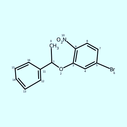 CC(Oc1cc(Br)ccc1[N+](=O)[O-])c1ccccc1